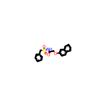 O=C(COc1ccc2ccccc2c1)NS(=O)(=O)Cc1ccccc1